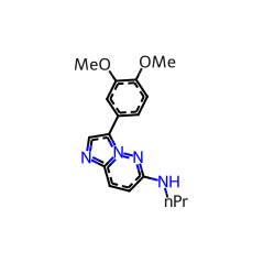 CCCNc1ccc2ncc(-c3ccc(OC)c(OC)c3)n2n1